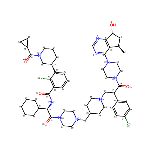 C[C@@H]1C[C@@H](O)c2ncnc(N3CCN(C(=O)C(CN4CCC(CN5CCN(C(=O)[C@H](NC(=O)c6cccc([C@@H]7CCCN(C(=O)C8CC8)C7)c6F)C6CCCCC6)CC5)CC4)c4ccc(Cl)cc4)CC3)c21